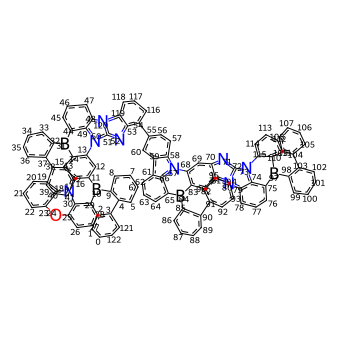 c1ccc(-c2ccccc2B2c3cc4c(cc3N3c5ccccc5Oc5cccc2c53)B(c2ccccc2-c2ccccc2)c2cccc3c2n-4c2nc4c(-c5ccc6c(c5)c5cccc7c5n6-c5cc6nc8n9c%10c(cccc%10n8c6cc5B7c5ccccc5-c5ccccc5)B(c5ccccc5-c5ccccc5)c5ccccc5-9)cccc4n32)cc1